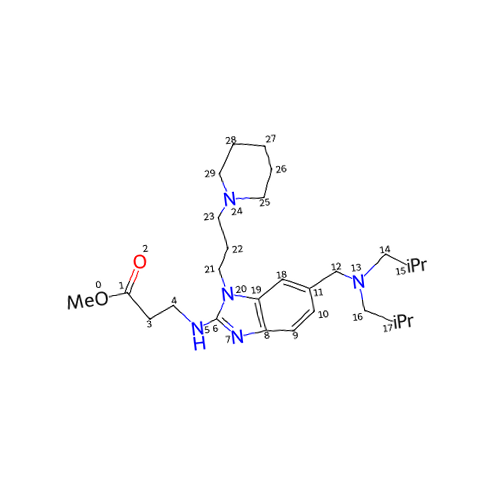 COC(=O)CCNc1nc2ccc(CN(CC(C)C)CC(C)C)cc2n1CCCN1CCCCC1